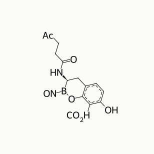 CC(=O)CCC(=O)N[C@H]1Cc2ccc(O)c(C(=O)O)c2OB1N=O